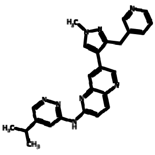 CC(C)c1cnnc(Nc2ccc3ncc(-c4cn(C)nc4Cc4cccnc4)cc3n2)c1